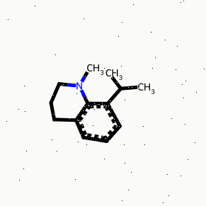 CC(C)c1cccc2c1N(C)CCC2